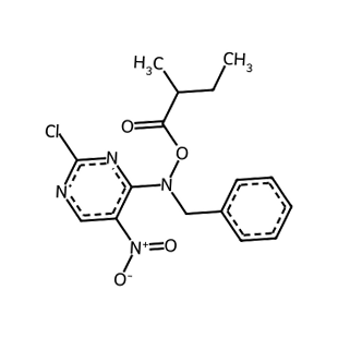 CCC(C)C(=O)ON(Cc1ccccc1)c1nc(Cl)ncc1[N+](=O)[O-]